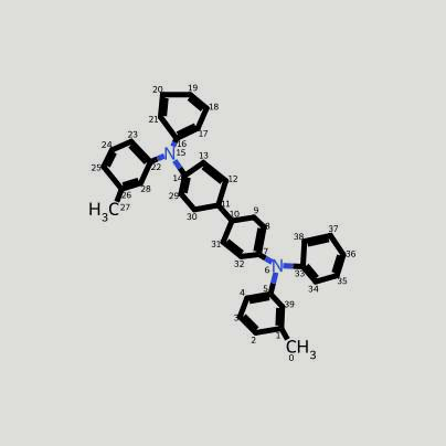 Cc1cccc(N(C2=CCC(C3C=CC(N(c4ccccc4)c4cccc(C)c4)=CC3)C=C2)c2ccccc2)c1